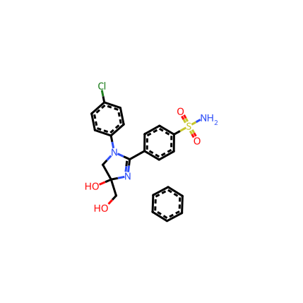 NS(=O)(=O)c1ccc(C2=NC(O)(CO)CN2c2ccc(Cl)cc2)cc1.c1ccccc1